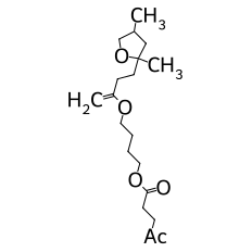 C=C(CCC1(C)CC(C)CO1)OCCCCOC(=O)CCC(C)=O